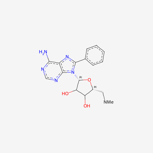 CNC[C@H]1O[C@@H](n2c(-c3ccccc3)nc3c(N)ncnc32)C(O)C1O